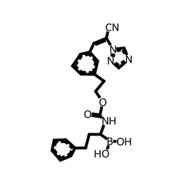 N#CC(=Cc1cccc(CCOC(=O)NC(CCc2ccccc2)B(O)O)c1)n1cncn1